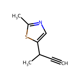 C#CC(C)c1cnc(C)s1